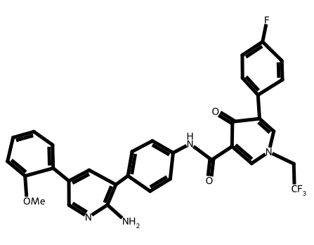 COc1ccccc1-c1cnc(N)c(-c2ccc(NC(=O)c3cn(CC(F)(F)F)cc(-c4ccc(F)cc4)c3=O)cc2)c1